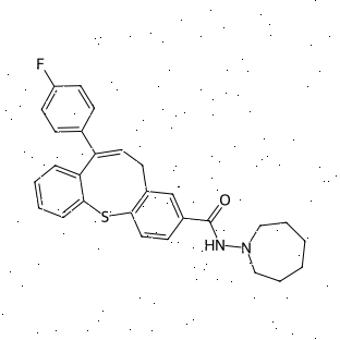 O=C(NN1CCCCCC1)c1ccc2c(c1)CC=C(c1ccc(F)cc1)c1ccccc1S2